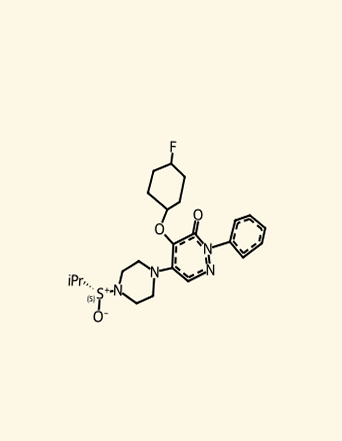 CC(C)[S@@+]([O-])N1CCN(c2cnn(-c3ccccc3)c(=O)c2OC2CCC(F)CC2)CC1